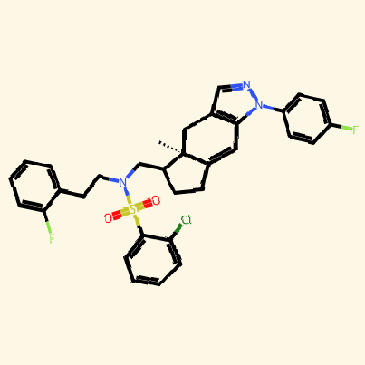 C[C@]12Cc3cnn(-c4ccc(F)cc4)c3C=C1CCC2CN(CCc1ccccc1F)S(=O)(=O)c1ccccc1Cl